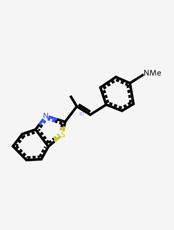 CNc1ccc(/C=C(\C)c2nc3ccccc3s2)cc1